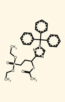 CCOP(=O)(CCC(SC(C)=O)c1ncn(C(c2ccccc2)(c2ccccc2)c2ccccc2)n1)OCC